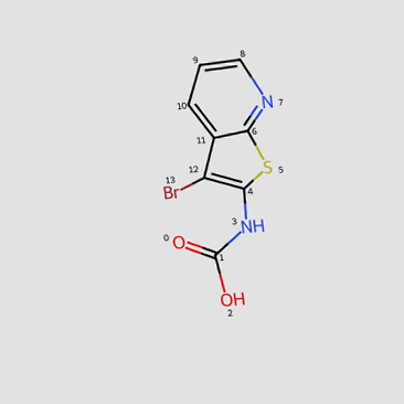 O=C(O)Nc1sc2ncccc2c1Br